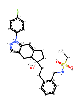 C[C@]12Cc3cnn(-c4ccc(F)cc4)c3C=C1CC[C@@]2(O)CCc1ccccc1CNS(=O)(=O)CC(F)(F)F